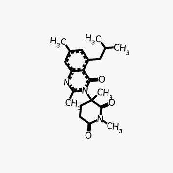 Cc1cc(CC(C)C)c2c(=O)n(C3(C)CCC(=O)N(C)C3=O)c(C)nc2c1